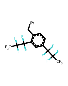 CC(C)[CH]c1ccc(C(F)(F)C(F)(F)C(F)(F)F)cc1C(F)(F)C(F)(F)C(F)(F)F